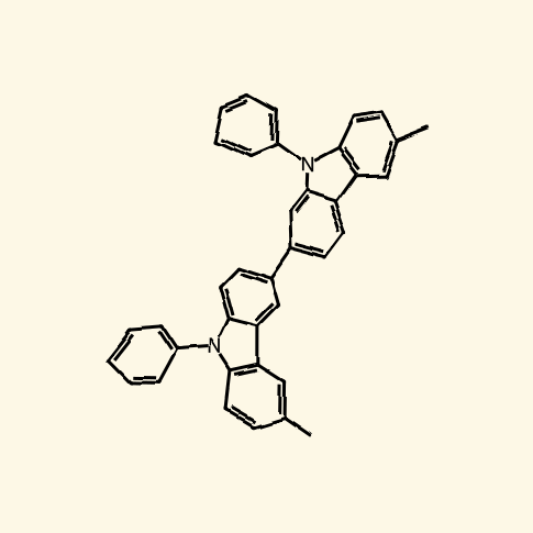 Cc1ccc2c(c1)c1cc(-c3ccc4c5cc(C)ccc5n(-c5ccccc5)c4c3)ccc1n2-c1ccccc1